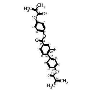 C=C(C)C(=O)Oc1ccc(OC(=O)c2ccc(-c3ccc(OC(=O)C(=C)C)cc3)c(F)c2)cc1